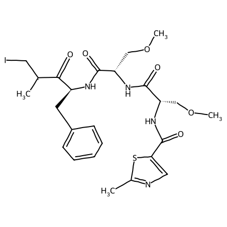 COC[C@H](NC(=O)c1cnc(C)s1)C(=O)N[C@@H](COC)C(=O)N[C@@H](Cc1ccccc1)C(=O)[C](C)CI